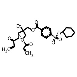 C=CC(=O)OCC(CC)(COC(=O)C=C)COC(=O)c1ccc(S(=O)(=O)OC2CCCCC2)cc1